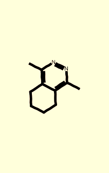 Cc1nnc(C)c2c1CCCC2